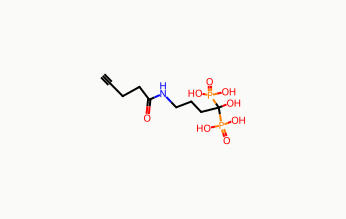 C#CCCC(=O)NCCCC(O)(P(=O)(O)O)P(=O)(O)O